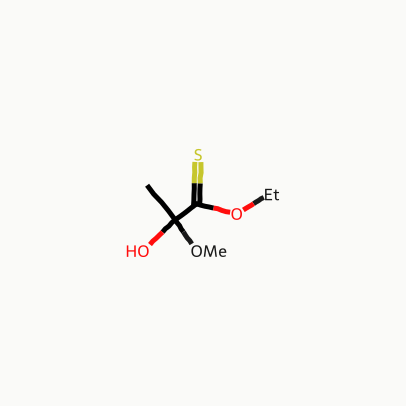 CCOC(=S)C(C)(O)OC